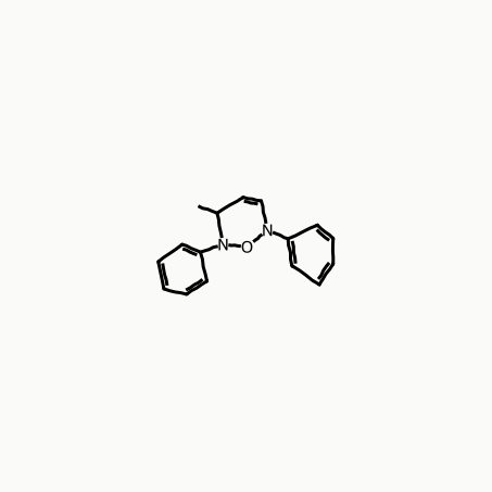 CC1C=CN(c2ccccc2)ON1c1ccccc1